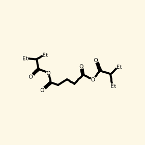 CCC(CC)C(=O)OC(=O)CCCC(=O)OC(=O)C(CC)CC